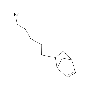 BrCCCCCC1CC2C=CC1C2